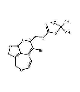 CC(C)(C)OC(=O)NC[C@@H]1OB2OCC3=C2C(=C1Br)C=COC3